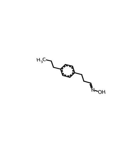 CCCc1ccc(CCC=NO)cc1